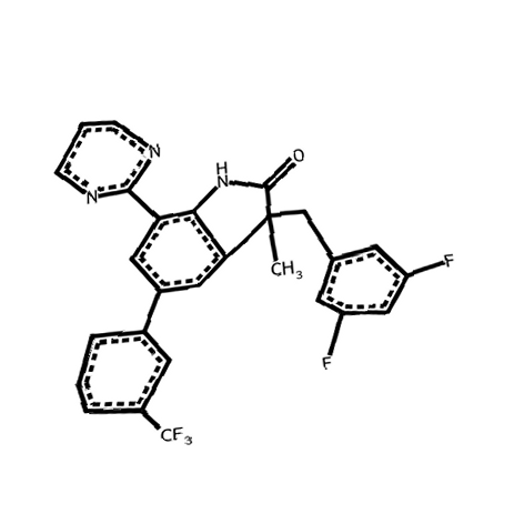 CC1(Cc2cc(F)cc(F)c2)C(=O)Nc2c(-c3ncccn3)cc(-c3cccc(C(F)(F)F)c3)cc21